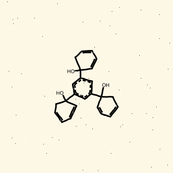 OC1(c2cc(C3(O)C=CC=CC3)cc(C3(O)C=CC=CC3)c2)C=CC=CC1